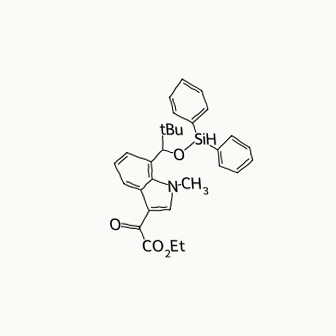 CCOC(=O)C(=O)c1cn(C)c2c(C(O[SiH](c3ccccc3)c3ccccc3)C(C)(C)C)cccc12